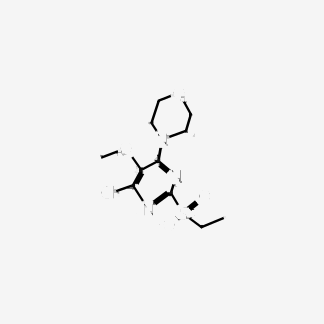 CCS(=O)(=O)c1nc(Cl)c(OC)c(N2CCOCC2)n1